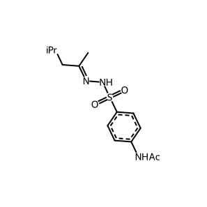 CC(=O)Nc1ccc(S(=O)(=O)N/N=C(\C)CC(C)C)cc1